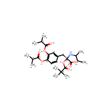 CCC(C)N[C@@](Cc1ccc(OC(=O)C(C)C)c(OC(=O)C(C)C)c1)(OC(=O)C(C)(C)C)C(=O)O